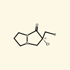 CC[C@]1(CF)CN2CCCN2C1=O